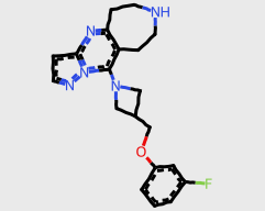 Fc1cccc(OCC2CN(c3c4c(nc5ccnn35)CCNCC4)C2)c1